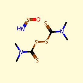 CN(C)C(=S)SSC(=S)N(C)C.N=S=O